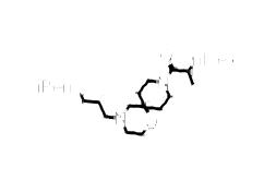 CCCCCCC(C)C(=O)N1CCC2(CC1)CN(CCCC(C)CCC)CCO2